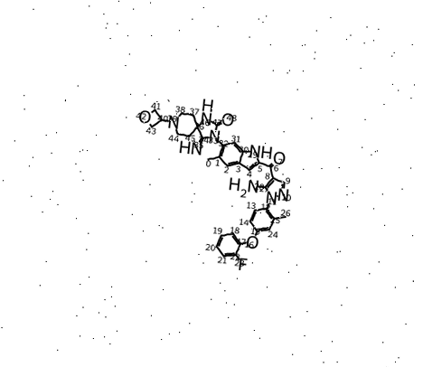 Cc1cc2cc(C(=O)c3cnn(-c4ccc(Oc5ccccc5F)cc4C)c3N)[nH]c2cc1N1C(=N)C2(CCN(C3COC3)CC2)NC1=O